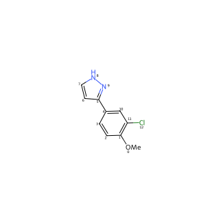 COc1ccc(-c2cc[nH]n2)cc1Cl